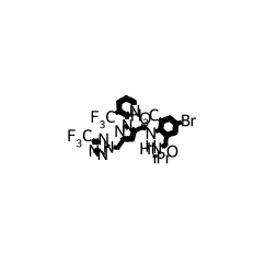 Cc1cc(Br)cc(C(=O)NC(C)C)c1NC(=O)c1cc(Cn2nnc(C(F)(F)F)n2)nn1-c1ncccc1C(F)(F)F